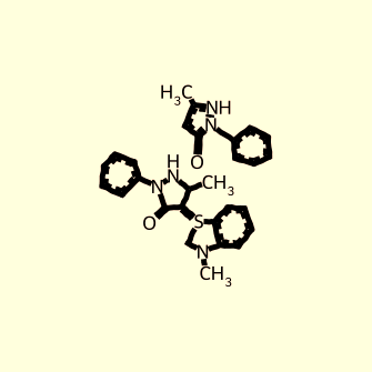 CC1NN(c2ccccc2)C(=O)C1=S1CN(C)c2ccccc21.Cc1cc(=O)n(-c2ccccc2)[nH]1